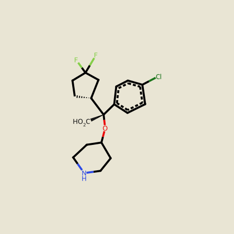 O=C(O)[C@](OC1CCNCC1)(c1ccc(Cl)cc1)[C@@H]1CCC(F)(F)C1